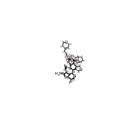 CC(O)CN1CC2CCC(C1)N2c1nc(OCCN2CCOCC2)nc2c(F)c(-c3ncc(F)c4sc(N)c(C#N)c34)c3c(c12)COC3